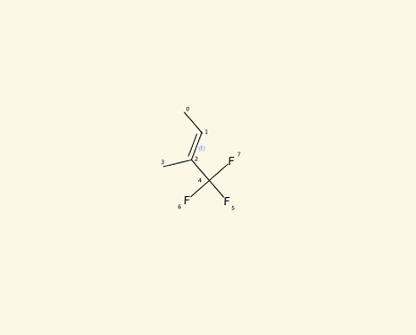 C/C=C(\C)C(F)(F)F